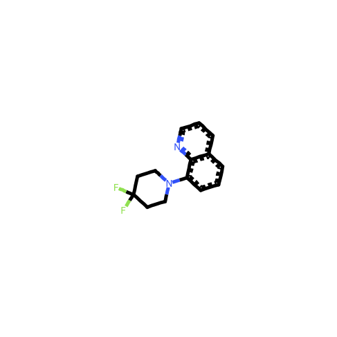 FC1(F)CCN(c2cccc3cccnc23)CC1